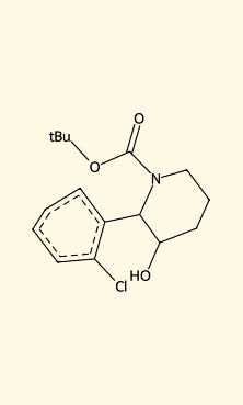 CC(C)(C)OC(=O)N1CCCC(O)C1c1ccccc1Cl